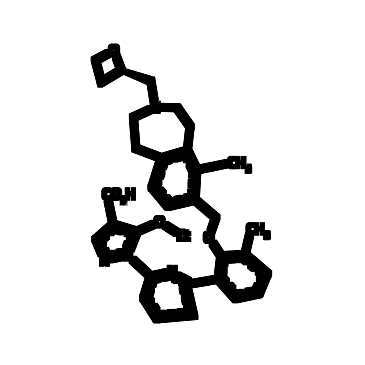 CCOc1c(C(=O)O)cnn1-c1cccc(-c2cccc(C)c2OCc2ccc3c(c2C)CCN(C[C@H]2CCO2)CC3)n1